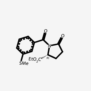 CCOC(=O)[C@H]1CCC(=O)N1C(=O)c1cccc(SC)c1